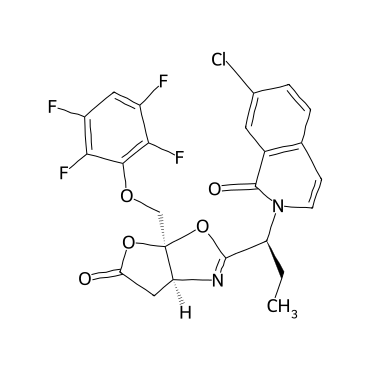 CC[C@@H](C1=N[C@H]2CC(=O)O[C@@]2(COc2c(F)c(F)cc(F)c2F)O1)n1ccc2ccc(Cl)cc2c1=O